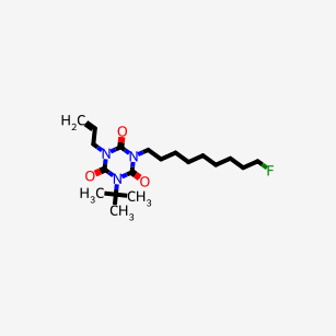 C=CCn1c(=O)n(CCCCCCCCCF)c(=O)n(C(C)(C)C)c1=O